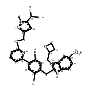 Cn1nc(COc2cccc(-c3cc(F)c(Cc4nc5ccc(C(=O)O)cc5n4CC4CCO4)cc3F)n2)cc1C(F)F